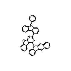 c1ccc(-n2c3ccccc3c3c(-c4nc(-n5c6ccccc6c6cc7ccccc7cc65)c5c(n4)oc4ccccc45)cccc32)cc1